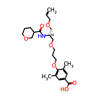 C=CCOC[C@H](COCCCOc1c(C)cc(C(=O)O)cc1C)NC(=O)C1CCCOC1